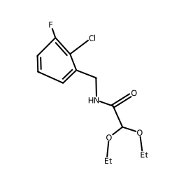 CCOC(OCC)C(=O)NCc1cccc(F)c1Cl